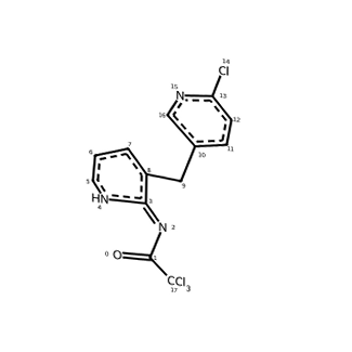 O=C(N=c1[nH]cccc1Cc1ccc(Cl)nc1)C(Cl)(Cl)Cl